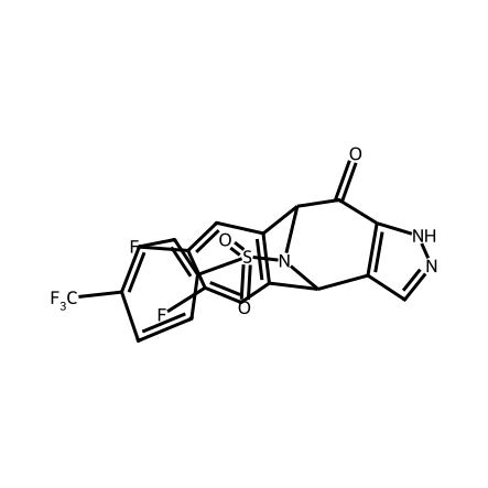 O=C1c2[nH]ncc2C2c3cc(F)c(F)cc3C1N2S(=O)(=O)c1ccc(C(F)(F)F)cc1